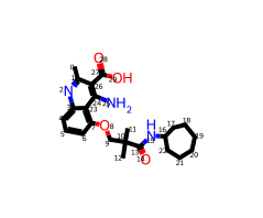 Cc1nc2cccc(OCC(C)(C)C(=O)NC3CCCCCC3)c2c(N)c1C(=O)O